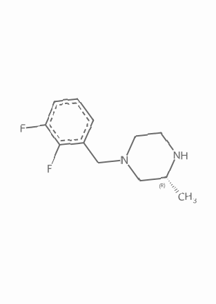 C[C@@H]1CN(Cc2cccc(F)c2F)CCN1